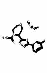 CN=C=S.CNC(=S)N1CCOCC1c1nc(-c2cccc(I)c2)no1